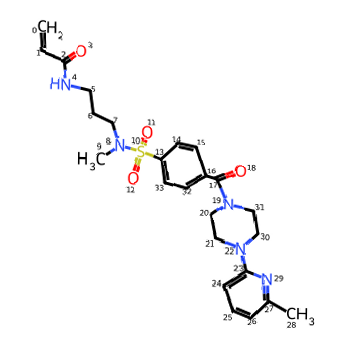 C=CC(=O)NCCCN(C)S(=O)(=O)c1ccc(C(=O)N2CCN(c3cccc(C)n3)CC2)cc1